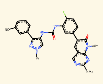 CNc1ncc2cc(-c3ccc(F)c(NC(=O)Nc4cn(C(C)C)nc4-c4cccc(C#N)c4)c3)c(=O)n(C(C)C)c2n1